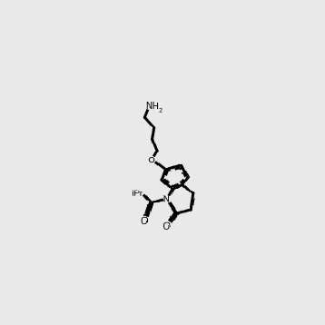 CC(C)C(=O)N1C(=O)CCc2ccc(OCCCCN)cc21